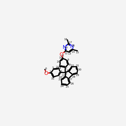 COc1ccc(C2(c3ccc(Oc4cc(C)nc(C)n4)cc3)c3ccccc3-c3ccccc32)cc1